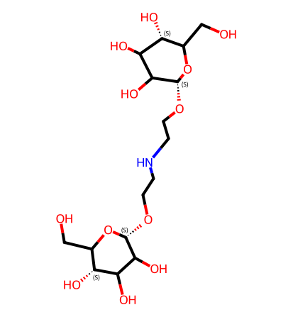 OCC1O[C@H](OCCNCCO[C@H]2OC(CO)[C@@H](O)C(O)C2O)C(O)C(O)[C@@H]1O